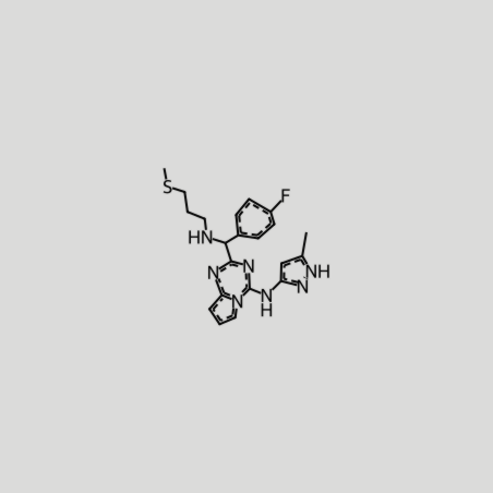 CSCCCNC(c1ccc(F)cc1)c1nc(Nc2cc(C)[nH]n2)n2cccc2n1